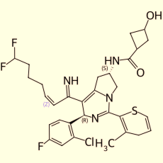 CC1=C(C2=N[C@@H](c3ccc(F)cc3Cl)C(C(=N)/C=C\CCCC(F)F)=C3C[C@H](NC(=O)C4CC(O)C4)CN23)SC=CC1